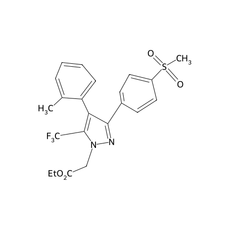 CCOC(=O)Cn1nc(-c2ccc(S(C)(=O)=O)cc2)c(-c2ccccc2C)c1C(F)(F)F